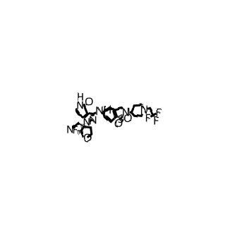 N#CC[C@@]1(n2nc(Nc3ccc4c(c3)CN(C3CCN(CC(F)(F)F)CC3)S4(=O)=O)c3c(=O)[nH]ccc32)CCOC[C@@H]1F